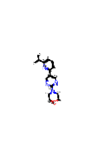 CC(C)c1cccc(-c2cnc(N3CCOCC3)nc2)n1